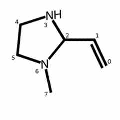 C=CC1NCCN1C